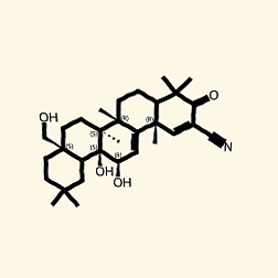 CC1(C)CC[C@]2(CO)CC[C@]3(C)[C@@](O)(C2C1)[C@H](O)C=C1[C@@]2(C)C=C(C#N)C(=O)C(C)(C)C2CC[C@]13C